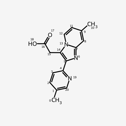 Cc1ccc(-c2nc3cc(C)ccn3c2CC(=O)O)nc1